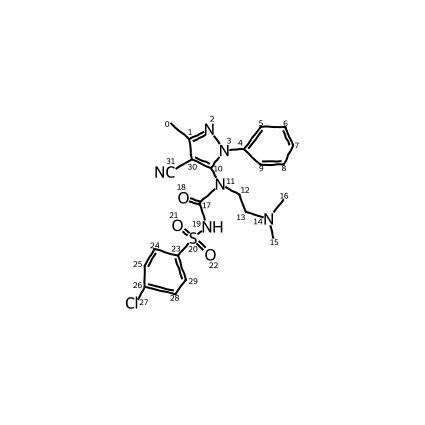 Cc1nn(-c2ccccc2)c(N(CCN(C)C)C(=O)NS(=O)(=O)c2ccc(Cl)cc2)c1C#N